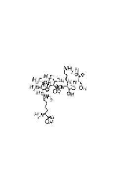 C[C@@H](O)[C@H](N)C(=O)O.C[C@@H](O)[C@H](N)C(=O)O.NCCCC[C@H](N)C(=O)O.NCCCC[C@H](N)C(=O)O.N[C@@H](CO)C(=O)O